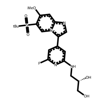 COc1cc2ncc(-c3cc(F)nc(NC[C@H](O)CO)c3)n2cc1S(=O)(=O)C(C)(C)C